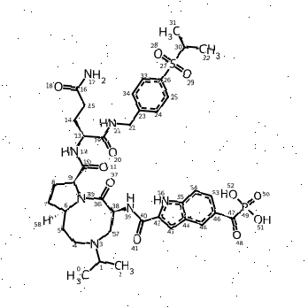 CC(C)N1CC[C@H]2CC[C@@H](C(=O)N[C@@H](CCC(N)=O)C(=O)NCc3ccc(S(=O)(=O)C(C)C)cc3)N2C(=O)[C@@H](NC(=O)c2cc3cc(C(=O)P(=O)(O)O)ccc3[nH]2)C1